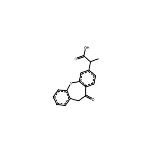 CC(C(=O)O)c1ccc2c(c1)Sc1ccccc1CC2=O